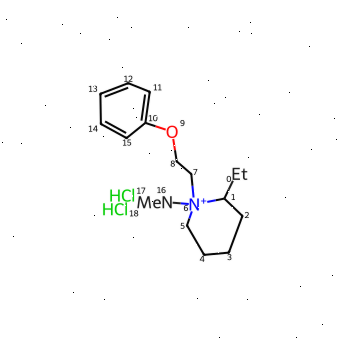 CCC1CCCC[N+]1(CCOc1ccccc1)NC.Cl.Cl